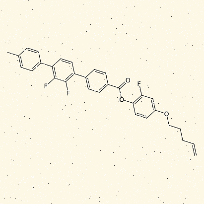 C=CCCCOc1ccc(OC(=O)c2ccc(-c3ccc(-c4ccc(C)cc4)c(F)c3F)cc2)c(F)c1